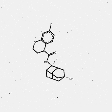 O=C(N[C@H]1C2CC3CC1C[C@](O)(C3)C2)N1CCOc2cc(F)ccc21